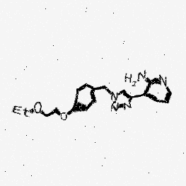 CCOCCOc1ccc(Cn2cc(-c3cccnc3N)nn2)cc1